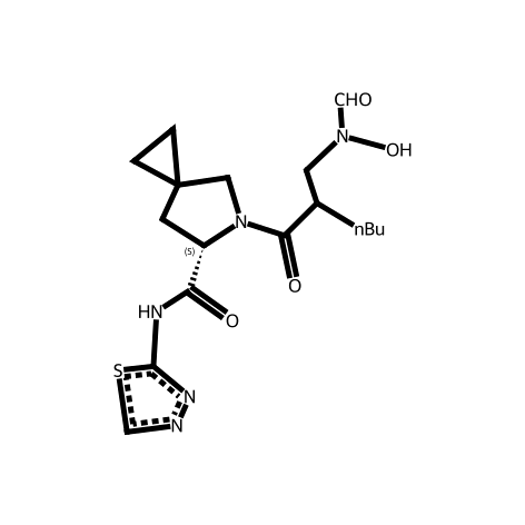 CCCCC(CN(O)C=O)C(=O)N1CC2(CC2)C[C@H]1C(=O)Nc1nncs1